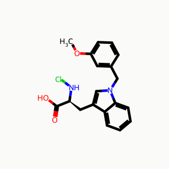 COc1cccc(Cn2cc(C[C@H](NCl)C(=O)O)c3ccccc32)c1